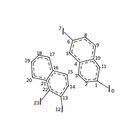 Ic1ccc2cc(I)ccc2c1.Ic1ccc2ccccc2c1I